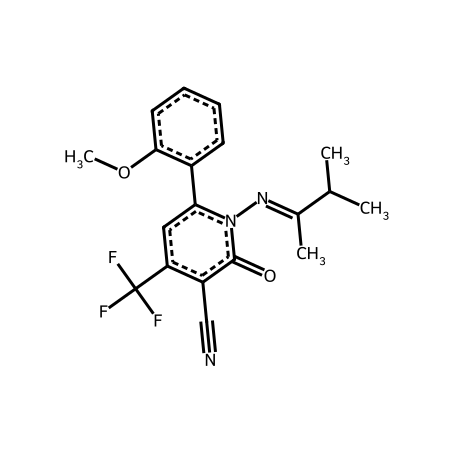 COc1ccccc1-c1cc(C(F)(F)F)c(C#N)c(=O)n1N=C(C)C(C)C